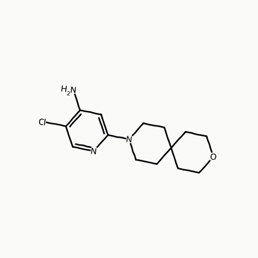 Nc1cc(N2CCC3(CCOCC3)CC2)ncc1Cl